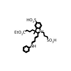 CCOC(=O)CCCC1(C)C(C=CC=CNc2ccccc2)=[N+](CCCS(=O)(=O)O)c2ccc(S(=O)(=O)O)cc21